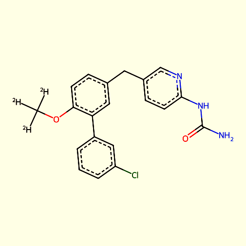 [2H]C([2H])([2H])Oc1ccc(Cc2ccc(NC(N)=O)nc2)cc1-c1cccc(Cl)c1